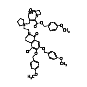 COc1ccc(COC(=O)/C(=C(/CS)C[N+]2(CCN3CCc4c(cc(OCc5ccc(OC)cc5)c(OCc5ccc(OC)cc5)c4Cl)C3=O)CCCC2)N2CCC2=O)cc1